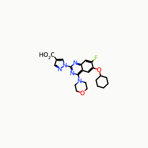 O=C(O)c1cnn(-c2nc(N3CCOCC3)c3cc(OC4CCCCC4)c(F)cc3n2)c1